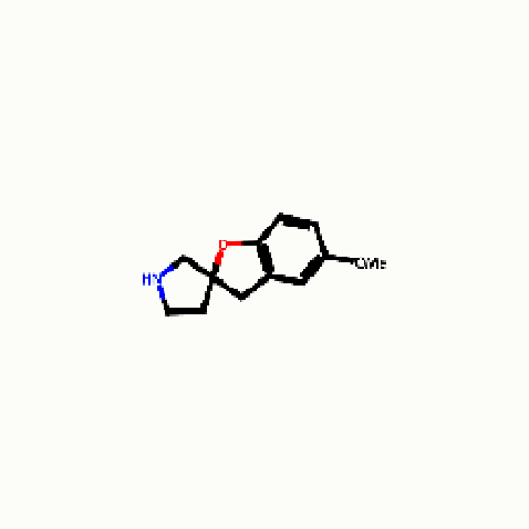 COc1ccc2c(c1)CC1(CCNC1)O2